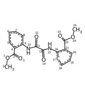 COC(=O)c1ccccc1NC(=O)C(=O)Nc1ccccc1C(=O)OC